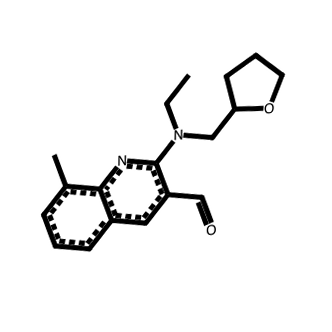 CCN(CC1CCCO1)c1nc2c(C)cccc2cc1C=O